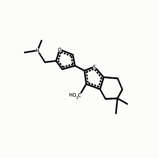 CN(C)Cc1cc(-c2sc3c(c2C(=O)O)CC(C)(C)CC3)co1